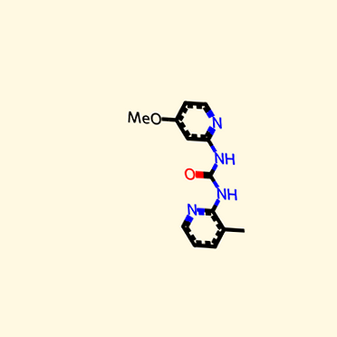 COc1ccnc(NC(=O)Nc2ncccc2C)c1